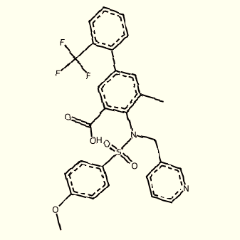 COc1ccc(S(=O)(=O)N(Cc2cccnc2)c2c(C)cc(-c3ccccc3C(F)(F)F)cc2C(=O)O)cc1